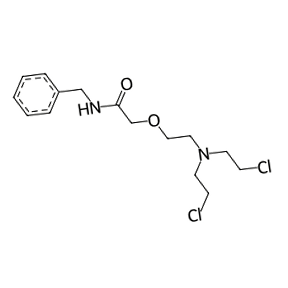 O=C(COCCN(CCCl)CCCl)NCc1ccccc1